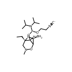 B[C@@H]1O[C@@]2(CC)CN(C)OC1[C@H]2OP(OCC[N+]#[C-])N(C(C)C)C(C)C